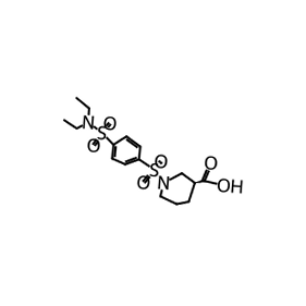 CCN(CC)S(=O)(=O)c1ccc(S(=O)(=O)N2CCC[C@H](C(=O)O)C2)cc1